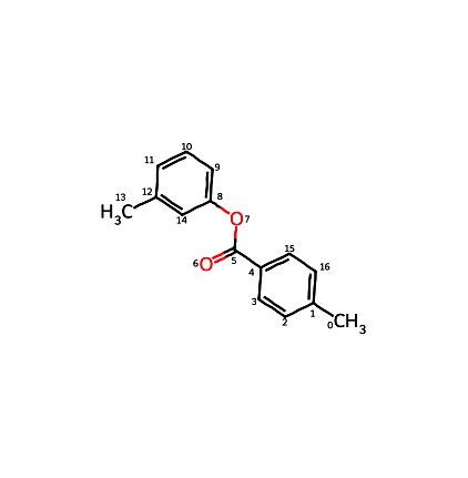 Cc1ccc(C(=O)Oc2cccc(C)c2)cc1